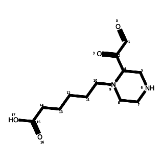 O=CC(=O)C1CNCCN1CCCCCC(=O)O